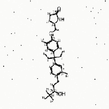 CCC(CC)(c1ccc(CC[C@@H](O)C(C)(C)C)c(C)c1)c1ccc(OCC2CCC(=O)N2)c(C)c1